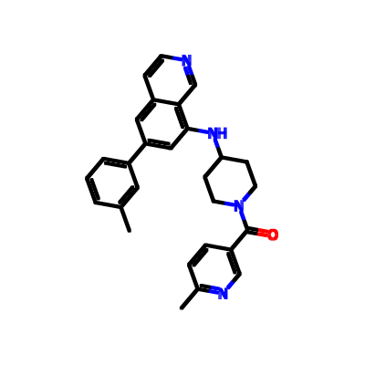 Cc1cccc(-c2cc(NC3CCN(C(=O)c4ccc(C)nc4)CC3)c3cnccc3c2)c1